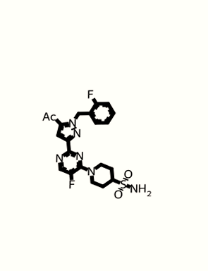 CC(=O)c1cc(-c2ncc(F)c(N3CCC(S(N)(=O)=O)CC3)n2)nn1Cc1ccccc1F